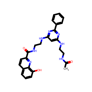 CC(=O)NCCNc1cc(NCCNC(=O)c2ccc3cccc(O)c3n2)nc(-c2ccccc2)n1